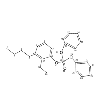 CCCCc1cccc(OP(=O)(Oc2ccccc2)Oc2ccccc2)c1CC